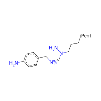 CCCC(C)CCCN(N)/C=N\Cc1ccc(N)cc1